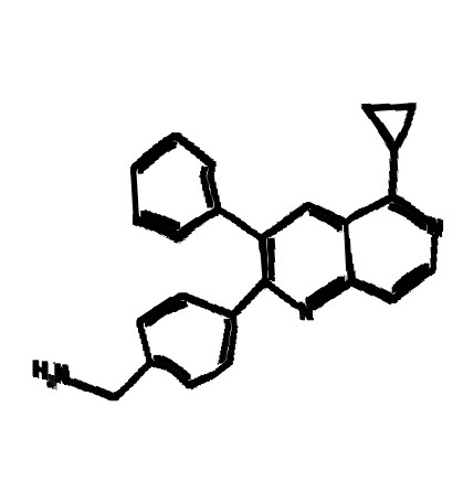 NCc1ccc(-c2nc3ccnc(C4CC4)c3cc2-c2ccccc2)cc1